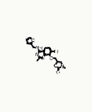 Cc1nc(NCc2ccco2)c2ccc(Cl)c(OCC3CN(C)C(=O)O3)c2n1